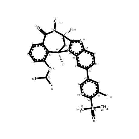 CN1C(=O)c2cccc(OC(F)F)c2[C@H]2C[C@@H]1c1nc3ccc(-c4cnc(P(C)(C)=O)c(F)c4)cc3n12